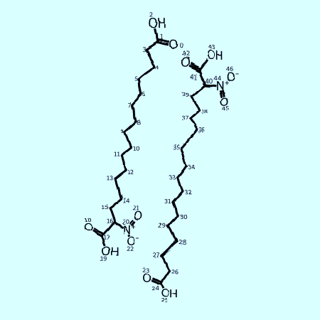 O=C(O)CCCCCCCCCCCCCC(C(=O)O)[N+](=O)[O-].O=C(O)CCCCCCCCCCCCCCC(C(=O)O)[N+](=O)[O-]